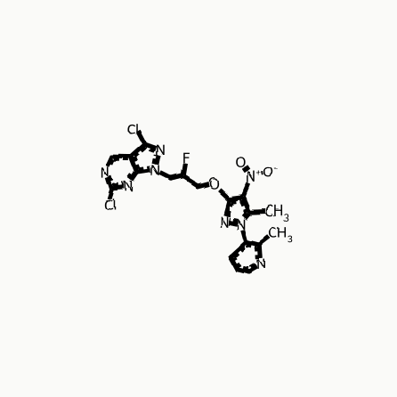 Cc1ncccc1-n1nc(OCC(F)Cn2nc(Cl)c3cnc(Cl)nc32)c([N+](=O)[O-])c1C